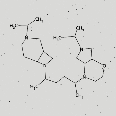 CC(C)N1CCC2C(C1)CN2C(C)CCC(C)N1CCOC2CN(C(C)C)CC21